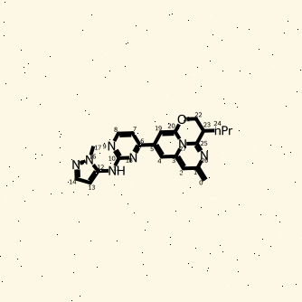 C=C1C=C2C=C(c3ccnc(Nc4ccnn4C)n3)C=C3OCC(CCC)C(=N1)N23